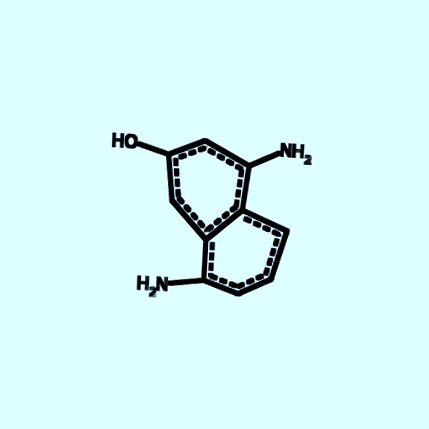 Nc1cc(O)cc2c(N)cccc12